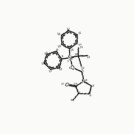 CC1CCN(CO[Si](c2ccccc2)(c2ccccc2)C(C)(C)C)C1=O